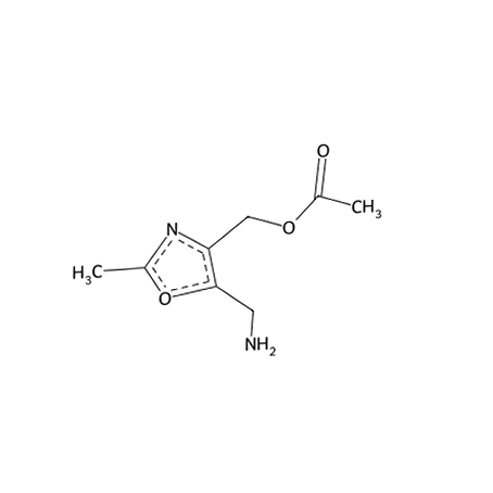 CC(=O)OCc1nc(C)oc1CN